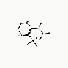 CC(C)C(C)C1=C(C(C)(C)C)NCCO1